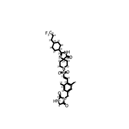 Cc1cc(CN2C(=O)CNC2=O)cc(C)c1C=CS(=O)(=O)N1CCC2(CC1)N=C(C1CCC(CCC(F)(F)F)CC1)NC2=O